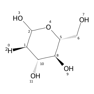 [2H][C@H]1C(O)O[C@H](CO)[C@@H](O)[C@@H]1O